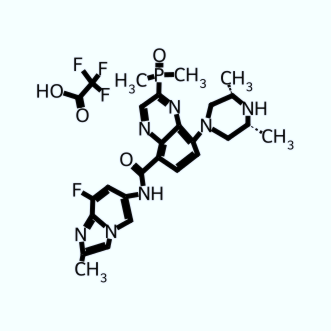 Cc1cn2cc(NC(=O)c3ccc(N4C[C@@H](C)N[C@@H](C)C4)c4nc(P(C)(C)=O)cnc34)cc(F)c2n1.O=C(O)C(F)(F)F